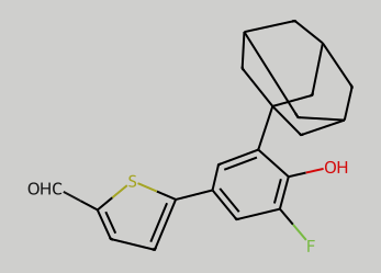 O=Cc1ccc(-c2cc(F)c(O)c(C34CC5CC(CC(C5)C3)C4)c2)s1